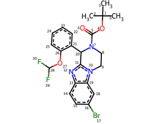 CC(C)(C)OC(=O)N1CCn2c(nc3ccc(Br)cc32)C1c1ccccc1OC(F)F